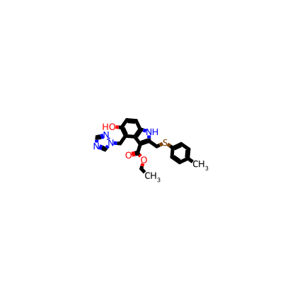 CCOC(=O)c1c(CSc2ccc(C)cc2)[nH]c2ccc(O)c(Cn3cncn3)c12